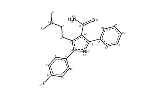 CN(C)CCc1c(-c2ccc(F)cc2)[nH]c(-c2ccccc2)c1C(N)=O